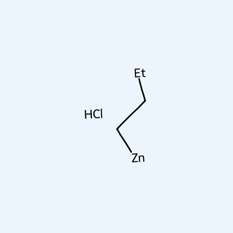 CCC[CH2][Zn].Cl